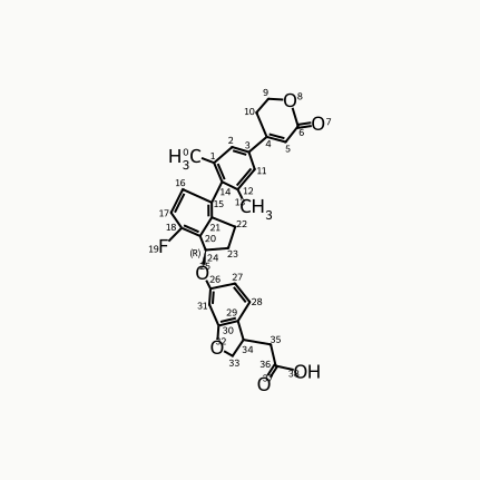 Cc1cc(C2=CC(=O)OCC2)cc(C)c1-c1ccc(F)c2c1CC[C@H]2Oc1ccc2c(c1)OCC2CC(=O)O